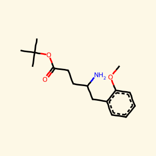 COc1ccccc1CC(N)CCC(=O)OC(C)(C)C